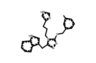 Cc1cccc(CSc2nnc(Cc3c[nH]c4ccccc34)n2CCCc2c[nH]cn2)c1